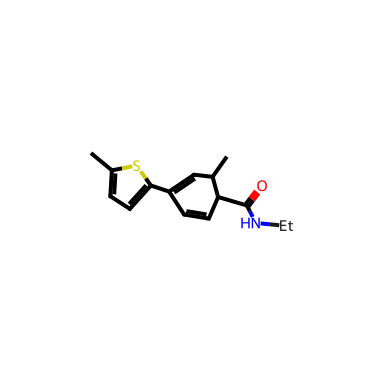 CCNC(=O)C1C=CC(c2ccc(C)s2)=CC1C